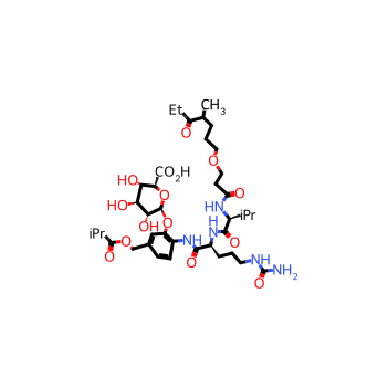 CCC(=O)C(C)CCCOCCC(=O)N[C@H](C(=O)N[C@@H](CCCNC(N)=O)C(=O)Nc1ccc(COC(=O)C(C)C)cc1O[C@@H]1O[C@H](C(=O)O)[C@@H](O)[C@H](O)[C@H]1O)C(C)C